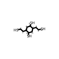 SCCC1CC(S)C(CCS)CC1S